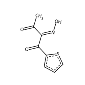 CC(=O)C(=NO)C(=O)c1cccs1